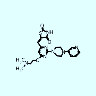 CN(C)CCOc1cc(/C=C2/SC(=O)NC2=O)nc(N2CCN(c3cccnc3)CC2)n1